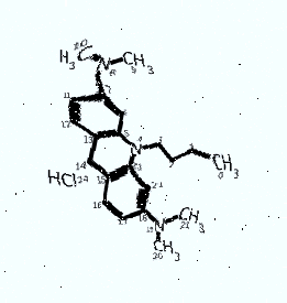 CCCCN1c2cc(N(C)C)ccc2Cc2ccc(N(C)C)cc21.Cl